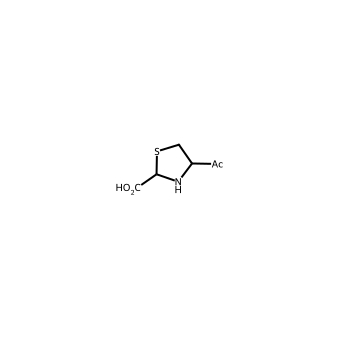 CC(=O)C1CSC(C(=O)O)N1